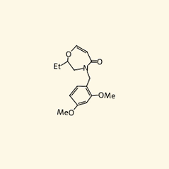 CCC1CN(Cc2ccc(OC)cc2OC)C(=O)C=CO1